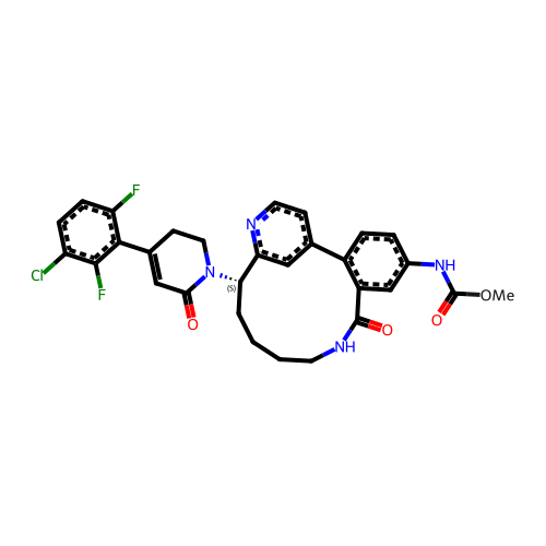 COC(=O)Nc1ccc2c(c1)C(=O)NCCCC[C@H](N1CCC(c3c(F)ccc(Cl)c3F)=CC1=O)c1cc-2ccn1